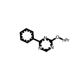 CCCOc1n[c]nc(-c2ccccc2)n1